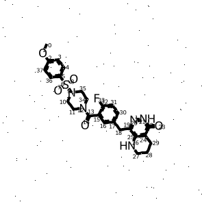 COc1ccc(S(=O)(=O)N2CCN(C(=O)c3cc(Cc4n[nH]c(=O)c5c4NCCC5)ccc3F)CC2)cc1